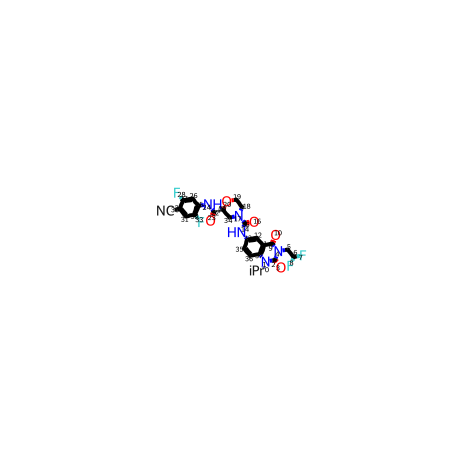 CC(C)n1c(=O)n(CC(F)F)c(=O)c2cc(NC(=O)N3CCO[C@@H](C(=O)Nc4cc(F)c(C#N)cc4F)C3)ccc21